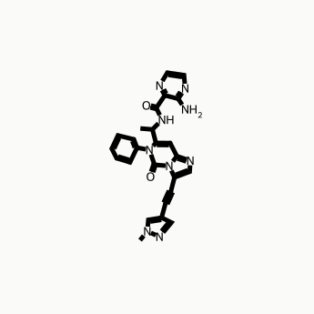 CC(NC(=O)c1nccnc1N)c1cc2ncc(C#Cc3cnn(C)c3)n2c(=O)n1-c1ccccc1